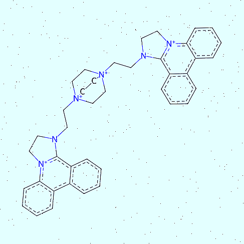 c1ccc2c(c1)c1[n+](c3ccccc23)CCN1CC[N+]12CC[N+](CCN3CC[n+]4c3c3ccccc3c3ccccc34)(CC1)CC2